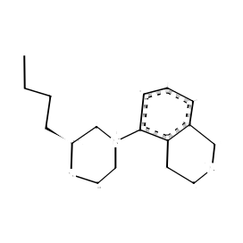 CCCC[C@H]1CN(c2cccc3c2CCNC3)CCN1